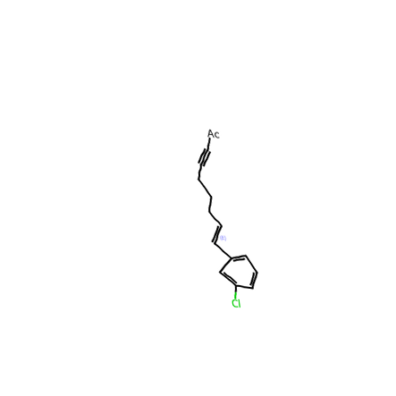 CC(=O)C#CCCC/C=C/c1cccc(Cl)c1